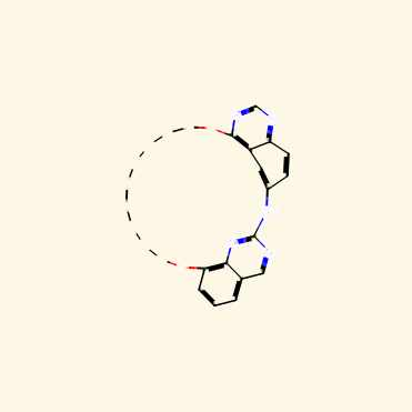 c1cc2c3nc(ncc3c1)Nc1ccc3ncnc(c3c1)OCCCCCCCCCO2